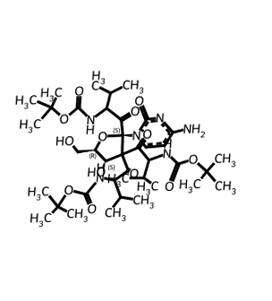 CC(C)C(NC(=O)OC(C)(C)C)C(=O)C1(C(=O)C(NC(=O)OC(C)(C)C)C(C)C)[C@H](O)[C@@H](CO)O[C@@]1(C(=O)C(NC(=O)OC(C)(C)C)C(C)C)n1ccc(N)nc1=O